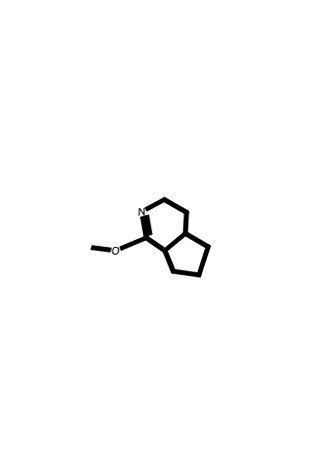 COC1=NCCC2CCCC12